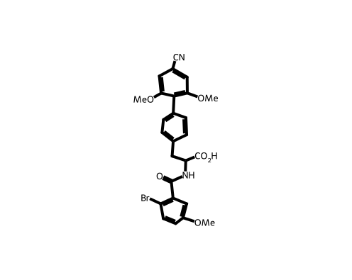 COc1ccc(Br)c(C(=O)NC(Cc2ccc(-c3c(OC)cc(C#N)cc3OC)cc2)C(=O)O)c1